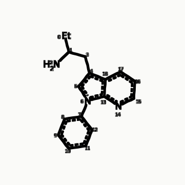 CCC(N)Cc1cn(-c2ccccc2)c2ncccc12